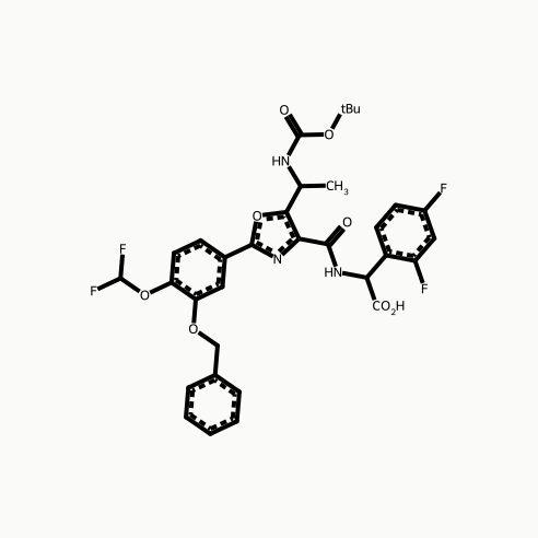 CC(NC(=O)OC(C)(C)C)c1oc(-c2ccc(OC(F)F)c(OCc3ccccc3)c2)nc1C(=O)NC(C(=O)O)c1ccc(F)cc1F